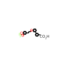 O=C(O)Cc1cccc(-c2cccc(OC/C=C/c3ccc4c(c3)OC(F)(F)O4)c2)c1